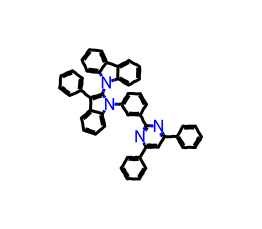 c1ccc(-c2cc(-c3ccccc3)nc(-c3cccc(-n4c(-n5c6ccccc6c6ccccc65)c(-c5ccccc5)c5ccccc54)c3)n2)cc1